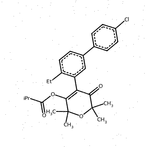 CCc1ccc(-c2ccc(Cl)cc2)cc1C1=C(OC(=O)C(C)C)C(C)(C)OC(C)(C)C1=O